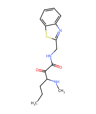 CCCC(NC)C(=O)C(=O)NCc1nc2ccccc2s1